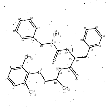 Cc1cccc(C)c1OCC(C)NC(=O)[C@H](Cc1ccccc1)NC(=O)[C@@H](N)Cc1ccccc1